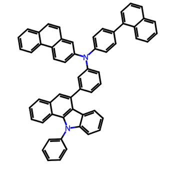 c1ccc(-n2c3ccccc3c3c(-c4cccc(N(c5ccc(-c6cccc7ccccc67)cc5)c5ccc6c(ccc7ccccc76)c5)c4)cc4ccccc4c32)cc1